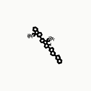 CC(C)CC1(CC(C)C)C2=C(CCC(C3=CC4=C(CC3)C3CCC(C5=CC6CCC(c7ccc8ccccc8c7)=CC6C=C5)C(I)C3C4(CC(C)C)CC(C)C)=C2)c2ccccc21